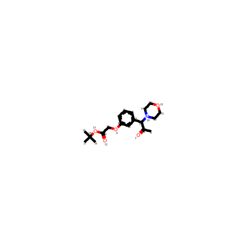 CC(=O)C(c1cccc(OCC(=O)OC(C)(C)C)c1)N1CCOCC1